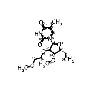 CC[C@H]1O[C@H](n2cc(C)c(=O)[nH]c2=O)C(OCCOC)[C@H]1OC